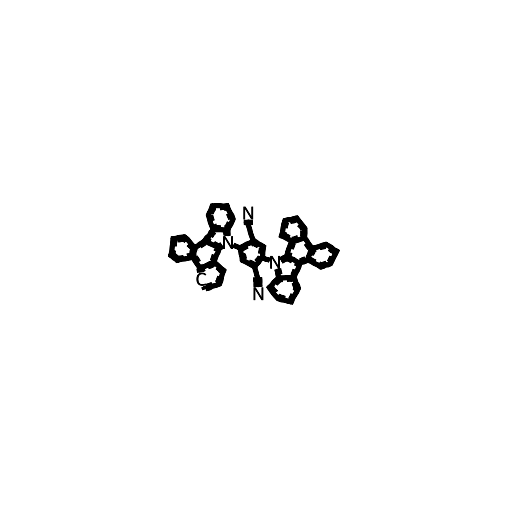 N#Cc1cc(-n2c3ccccc3c3c4ccccc4c4ccccc4c32)c(C#N)cc1-n1c2ccccc2c2c3ccccc3c3ccccc3c21